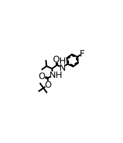 CC(C)C(NC(=O)OC(C)(C)C)C(=O)Nc1ccc(F)cc1